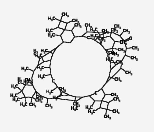 CC1CC(C)C(C)C2C(C)C3C(C)CC4(C)C(C)(C)C(C)(C)C(C)(C)C(C)(C)C4(C)CC(C)C4C(C)C(C1C)C(C)C(C4C)C1CC(C4CC5C(C)C(C(C)C(C)C(=O)C(C)C(C)C6C(C)C(C(C)CC7(C)C(C)(C)C(C)C(C)C(C)(C)C57C)C(C)C(C6C)C5CC(C(C3C)C2C)C(C)C2(C5C)C(C)C(C)(C)C2C)C4C)C(C)C2(C1C)C(C)C(C)(C)C2C